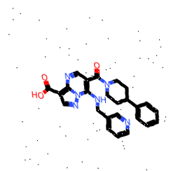 O=C(O)c1cnn2c(NCc3cccnc3)c(C(=O)N3CCC(c4ccccc4)CC3)cnc12